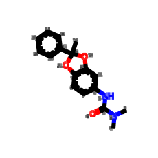 CN(C)C(=O)Nc1ccc2c(c1)OC(C)(c1ccccc1)O2